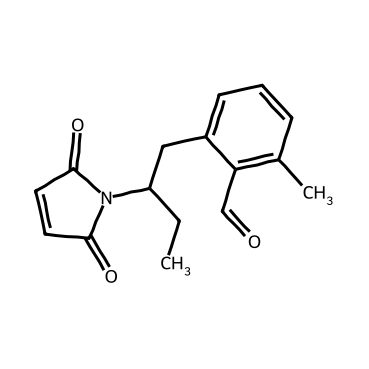 CCC(Cc1cccc(C)c1C=O)N1C(=O)C=CC1=O